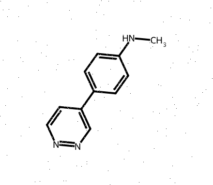 CNc1ccc(-c2ccnnc2)cc1